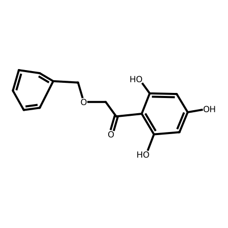 O=C(COCc1ccccc1)c1c(O)cc(O)cc1O